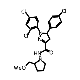 COCC1CCCN1NC(=O)C1=NN(c2ccc(Cl)cc2Cl)C(c2ccc(Cl)cc2)C1